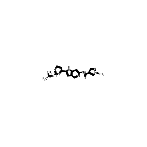 C[C@@H](Nc1nccc(-c2cc3cnc(NC(=O)c4cnn(C)c4)cc3[nH]2)n1)C(F)(F)F